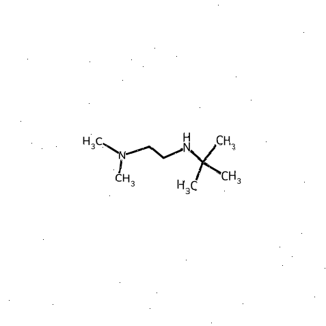 CN(C)CCNC(C)(C)C